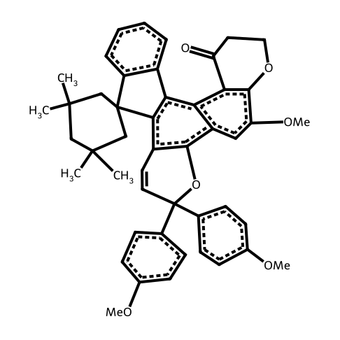 COc1ccc(C2(c3ccc(OC)cc3)C=Cc3c4c(c5c6c(c(OC)cc5c3O2)OCCC6=O)-c2ccccc2C42CC(C)(C)CC(C)(C)C2)cc1